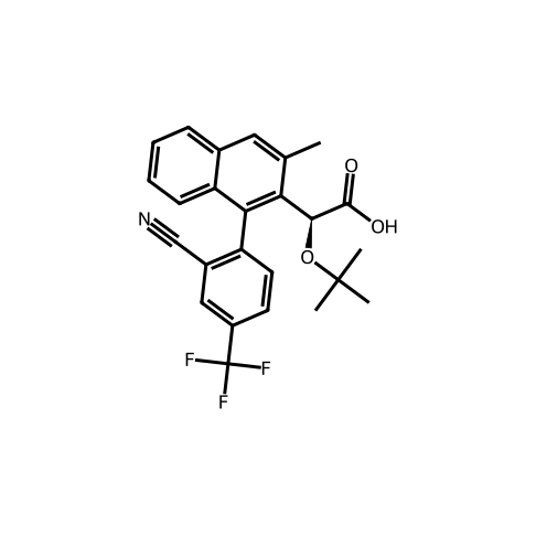 Cc1cc2ccccc2c(-c2ccc(C(F)(F)F)cc2C#N)c1[C@H](OC(C)(C)C)C(=O)O